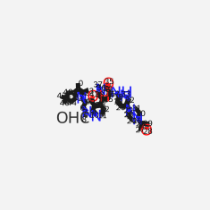 Cc1c2c(n(CCN(C=O)c3nccc(-c4cc(Nc5ccc(N6CCN(C7COC7)CC6)cn5)c(=O)n(C)c4)c3CO)c1C)CC(C)(C)C2